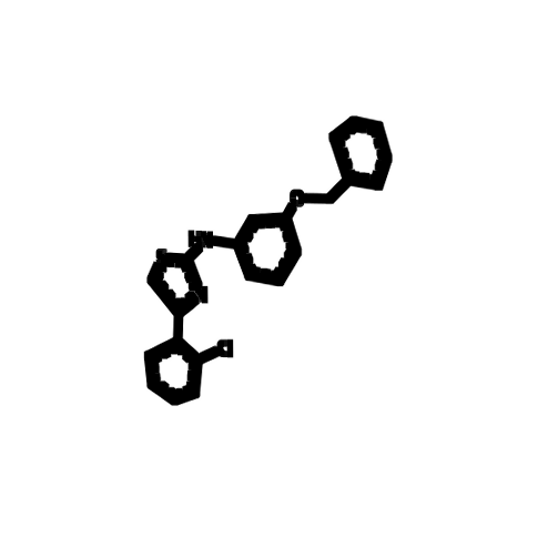 Clc1ccccc1-c1csc(Nc2cccc(OCc3ccccc3)c2)n1